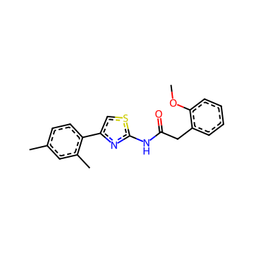 COc1ccccc1CC(=O)Nc1nc(-c2ccc(C)cc2C)cs1